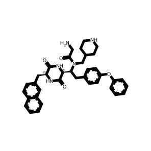 NCC(=O)N(CC1CCNCC1)C(Cc1ccc(Oc2ccccc2)cc1)[C@@H]1NC(=O)[C@H](Cc2ccc3ccccc3c2)NC1=O